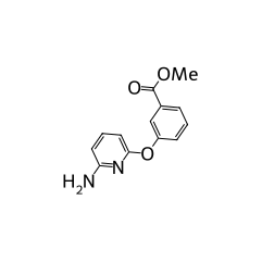 COC(=O)c1cccc(Oc2cccc(N)n2)c1